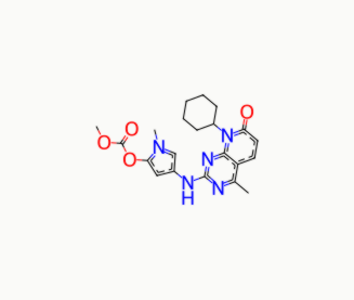 COC(=O)Oc1cc(Nc2nc(C)c3ccc(=O)n(C4CCCCC4)c3n2)cn1C